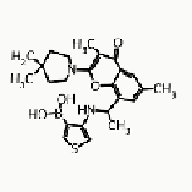 Cc1cc(C(C)Nc2cscc2B(O)O)c2oc(N3CCC(C)(C)CC3)c(C)c(=O)c2c1